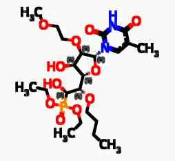 CCCCO[C@@H]([C@H]1O[C@@H](n2cc(C)c(=O)[nH]c2=O)[C@H](OCCOC)[C@@H]1O)[C@H](O)P(=O)(OCC)OCC